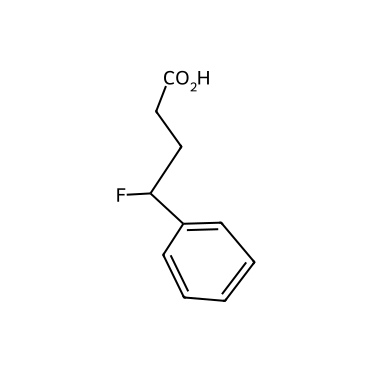 O=C(O)CCC(F)c1ccccc1